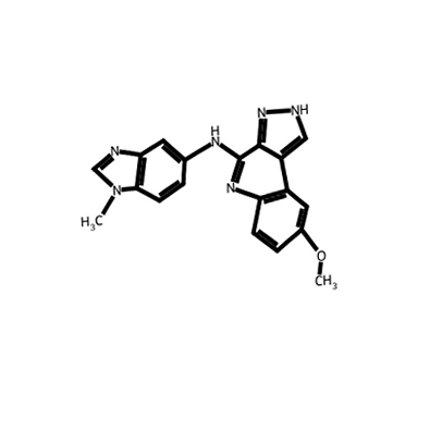 COc1ccc2nc(Nc3ccc4c(c3)ncn4C)c3n[nH]cc3c2c1